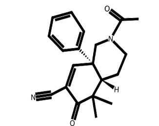 CC(=O)N1CC[C@@H]2C(C)(C)C(=O)C(C#N)=C[C@@]2(c2ccccc2)C1